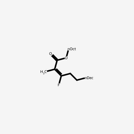 CCCCCCCCCCCCC(F)=C(C)C(=O)OCCCCCCCC